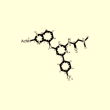 CC(=O)Nc1nc2c(Oc3cc(-c4ccc(C(F)(F)F)cc4)nc(NC(=O)CN(C)C)n3)cccc2s1